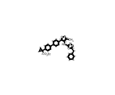 CCOC(=O)C1(c2ccc(-c3ccc(-c4onc(C)c4Nc4nnc(Cc5ccccc5)o4)cc3)cc2)CC1